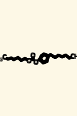 CCCCCCCOC(=O)Oc1ccc(CCCCCCC)cc1